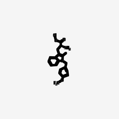 Cc1c(C[C@H](N)C(=O)OCl)c2ccccc2n1Cc1ccc(OC(F)(F)F)cc1